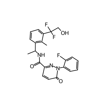 Cc1c(C(C)NC(=O)c2ccc(=O)n(-c3ccccc3F)n2)cccc1C(F)(F)CO